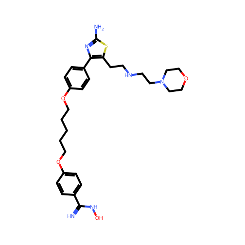 N=C(NO)c1ccc(OCCCCCOc2ccc(-c3nc(N)sc3CCNCCN3CCOCC3)cc2)cc1